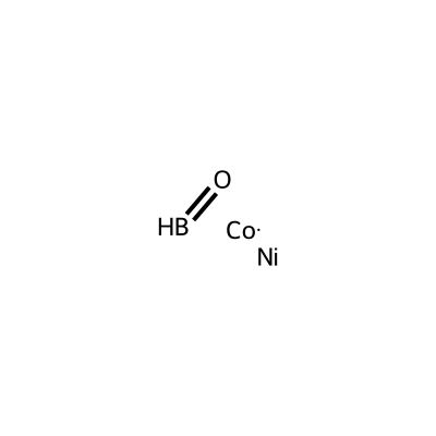 B=O.[Co].[Ni]